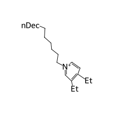 CCCCCCCCCCCCCCCC[n+]1ccc(CC)c(CC)c1